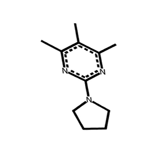 Cc1nc(N2CCCC2)nc(C)c1C